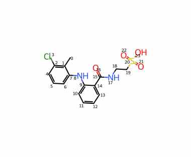 Cc1c(Cl)cccc1Nc1ccccc1C(=O)NCCS(=O)(=O)O